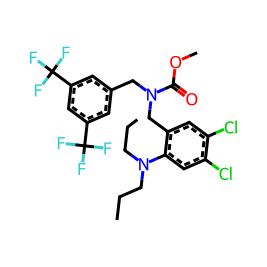 CCCN(CCC)c1cc(Cl)c(Cl)cc1CN(Cc1cc(C(F)(F)F)cc(C(F)(F)F)c1)C(=O)OC